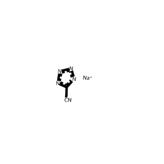 N#Cc1nnn[n-]1.[Na+]